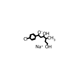 CC(CCO)C(O)CC([O-])c1ccc(Cl)cc1.[Na+]